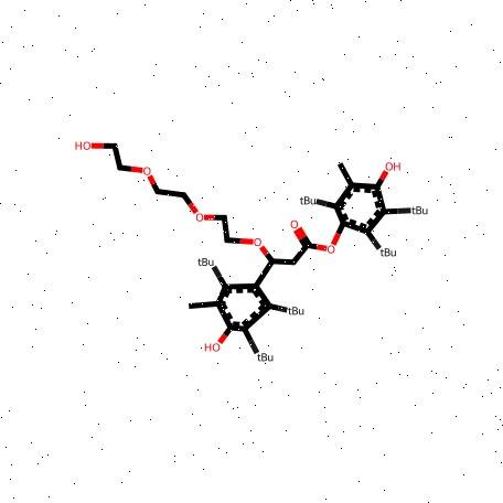 Cc1c(O)c(C(C)(C)C)c(C(C)(C)C)c(OC(=O)CC(OCCOCCOCCO)c2c(C(C)(C)C)c(C)c(O)c(C(C)(C)C)c2C(C)(C)C)c1C(C)(C)C